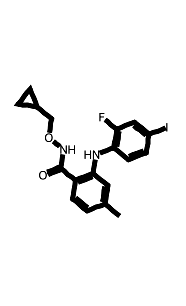 Cc1ccc(C(=O)NOCC2CC2)c(Nc2ccc(I)cc2F)c1